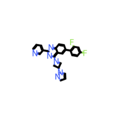 Fc1ccc(-c2ccc3nc(-c4cccnc4)nc(N4CC(n5cccn5)C4)c3c2)c(F)c1